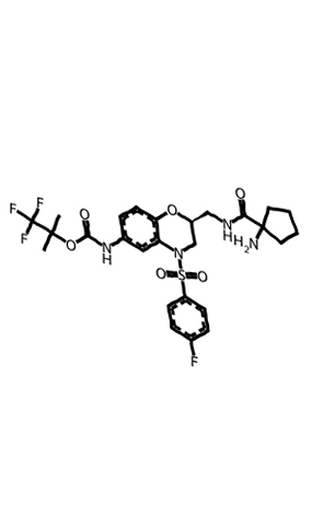 CC(C)(OC(=O)Nc1ccc2c(c1)N(S(=O)(=O)c1ccc(F)cc1)C[C@H](CNC(=O)C1(N)CCCC1)O2)C(F)(F)F